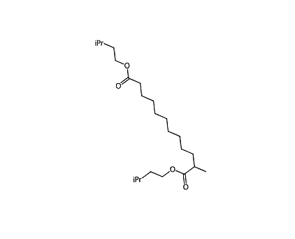 CC(C)CCOC(=O)CCCCCCCCCC(C)C(=O)OCCC(C)C